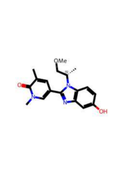 COC[C@H](C)n1c(-c2cc(C)c(=O)n(C)c2)nc2cc(O)ccc21